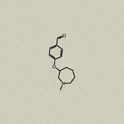 CN1CCCCC(Oc2ccc(C=O)cc2)C1